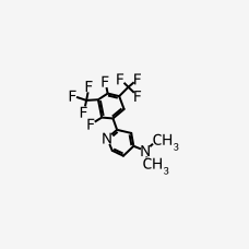 CN(C)c1ccnc(-c2cc(C(F)(F)F)c(F)c(C(F)(F)F)c2F)c1